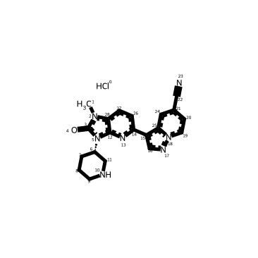 Cl.Cn1c(=O)n([C@H]2CCCNC2)c2nc(-c3cnn4ccc(C#N)cc34)ccc21